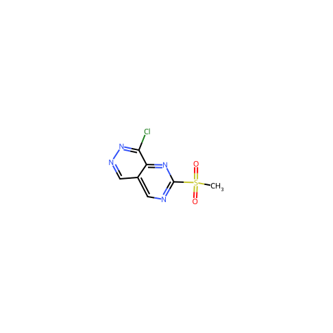 CS(=O)(=O)c1ncc2cnnc(Cl)c2n1